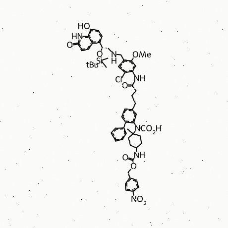 COc1cc(NC(=O)CCCc2ccc(-c3ccccc3)c(N(C(=O)O)C3(C)CCC(NC(=O)OCc4ccc([N+](=O)[O-])cc4)CC3)c2)c(Cl)cc1CNC[C@H](O[Si](C)(C)C(C)(C)C)c1ccc(O)c2[nH]c(=O)ccc12